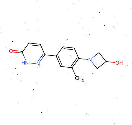 Cc1cc(-c2ccc(=O)[nH]n2)ccc1N1CC(O)C1